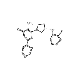 Cn1c(N2CC[C@H](Nc3ccccc3F)C2)nc(-c2ccncn2)cc1=O